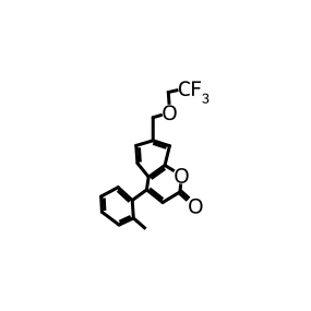 Cc1ccccc1-c1cc(=O)oc2cc(COCC(F)(F)F)ccc12